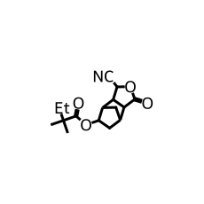 CCC(C)(C)C(=O)OC1CC2CC1C1C(C#N)OC(=O)C21